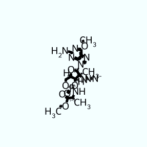 CCOC(=O)[C@H](C)NP1(=O)OC[C@H]2O[C@@H](n3cnc4c(OC)nc(N)nc43)[C@](C)(N=[N+]=[N-])[C@@H]2O1